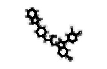 CC(=O)N1CCc2c(c(-c3ccc(Cl)c(C)c3)nn2CC(O)CN2CCC(c3nc4ccccc4s3)CC2)C1